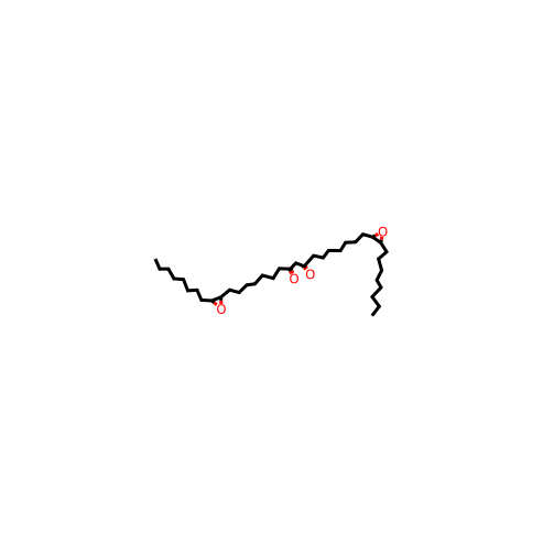 CCCCCCCCC1OC1CCCCCCCC(=O)CC(=O)CCCCCCCC1OC1CCCCCCCC